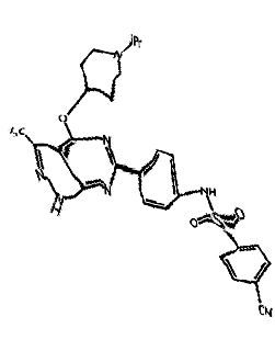 Cc1n[nH]c2nc(-c3ccc(NS(=O)(=O)c4ccc(C#N)cc4)cc3)nc(OC3CCN(C(C)C)CC3)c12